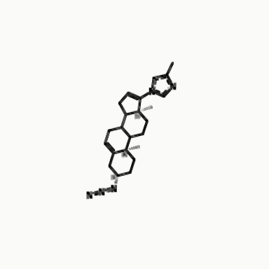 Cc1cn(C2=CCC3C4CC=C5C[C@@H](N=[N+]=[N-])CC[C@]5(C)C4CC[C@]23C)cn1